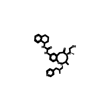 CC1CN([C@@H](C)CO)C(=O)Cc2cc(NC(=O)NC3CCCc4ccccc43)ccc2O[C@H]1CN(C)Cc1ccncc1